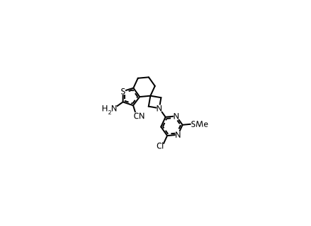 CSc1nc(Cl)cc(N2CC3(CCCc4sc(N)c(C#N)c43)C2)n1